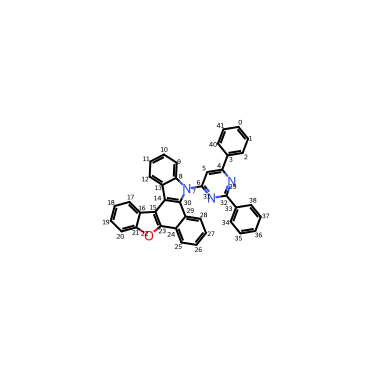 c1ccc(-c2cc(-n3c4ccccc4c4c5c6ccccc6oc5c5ccccc5c43)nc(-c3ccccc3)n2)cc1